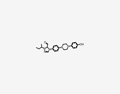 CCC(C)N1N=CN(c2ccc(N3CCN(c4ccc(O)cc4)CC3)cc2)C1C=O